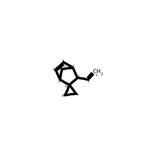 C=CC1C2C=CC(C2)C12CC2